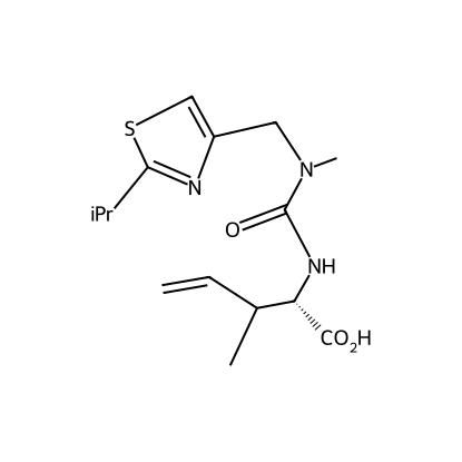 C=CC(C)[C@H](NC(=O)N(C)Cc1csc(C(C)C)n1)C(=O)O